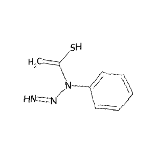 C=C(S)N(N=N)c1ccccc1